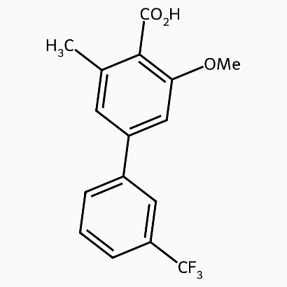 COc1cc(-c2cccc(C(F)(F)F)c2)cc(C)c1C(=O)O